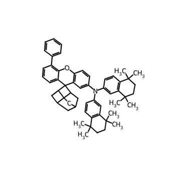 CC1(C)CCC(C)(C)c2cc(N(c3ccc4c(c3)C(C)(C)CCC4(C)C)c3ccc4c(c3)C3(c5cccc(-c6ccccc6)c5O4)C4CC5CC6CC3C64C5)ccc21